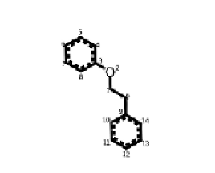 [CH](COc1ccccc1)c1ccccc1